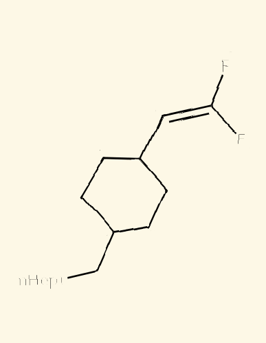 CCCCCCCCC1CCC(C=C(F)F)CC1